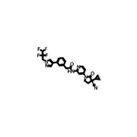 N#C[C@@]1(C2CC2)CCN(c2ccnc(NC(=O)Cc3cccc(-c4cnn(CC(F)(F)C(F)F)c4)c3)c2)C1=O